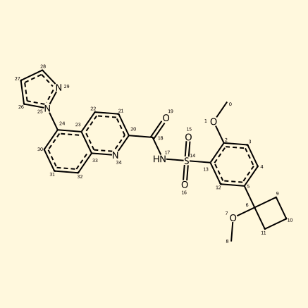 COc1ccc(C2(OC)CCC2)cc1S(=O)(=O)NC(=O)c1ccc2c(-n3cccn3)cccc2n1